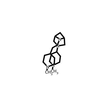 CN1CCC(CCN2C3CC2CN(C2CCN(C)CC2)C3)CC1